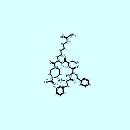 CC(C)C[C@@H](NC(=O)[C@@H](CCc1ccccc1)NC(=O)[C@H](N)Cc1ccccc1)C(=O)N[C@H](CCCCCNC(=N)N)C(=O)N1CCCN(C(=N)N)CC1